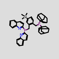 C[Si](C)(C)c1ccc(CP(C23CC4CC(CC(C4)C2)C3)C23CC4CC(CC(C4)C2)C3)c(CP(c2ccc3ccccc3n2)c2ccc3ccccc3n2)c1